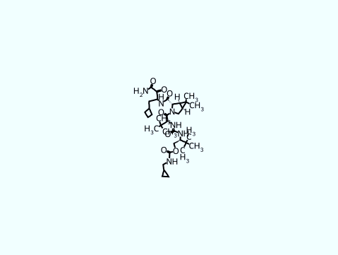 CC(C)(C)[C@H](NC(=O)N[C@H](COC(=O)NCC1CC1)C(C)(C)C)C(=O)N1C[C@H]2[C@@H]([C@H]1C(=O)NC(CC1CCC1)C(=O)C(N)=O)C2(C)C